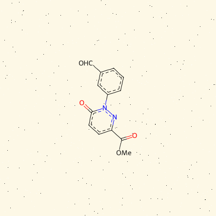 COC(=O)c1ccc(=O)n(-c2cccc(C=O)c2)n1